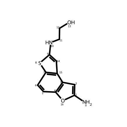 Nc1cc2c(ccc3sc(NCCO)cc32)o1